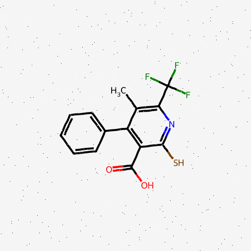 Cc1c(C(F)(F)F)nc(S)c(C(=O)O)c1-c1ccccc1